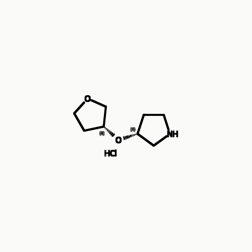 C1C[C@@H](O[C@@H]2CCOC2)CN1.Cl